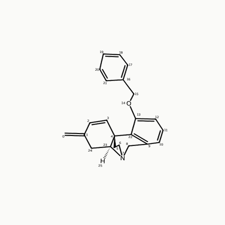 C=C1C=C[C@]23CCN(Cc4cccc(OCc5ccccc5)c42)[C@H]3C1